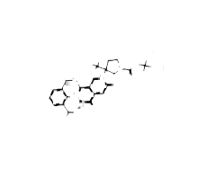 C[C@@H](Nc1nn(C)c(=O)c2cc(=O)n(C3(C(F)(F)F)CCN(C(=O)OC(C)(C)C)C3)cc12)c1cccc(C(F)F)c1F